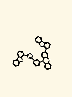 c1cc(-c2nc(-c3cccc4c3sc3ccccc34)ns2)cc(N2c3ccccc3Oc3cc(-c4cccc5c4sc4ccccc45)ccc32)c1